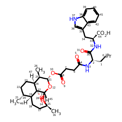 CC(C)C[C@H](NC(=O)CCC(=O)O[C@@H]1O[C@@H]2O[C@@]3(C)CC[C@H]4[C@H](C)CC[C@@H]([C@H]1C)[C@@]24OO3)C(=O)N[C@@H](Cc1c[nH]c2ccccc12)C(=O)O